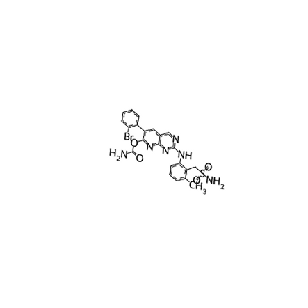 Cc1cccc(Nc2ncc3cc(-c4ccccc4Br)c(OC(N)=O)nc3n2)c1CS(N)(=O)=O